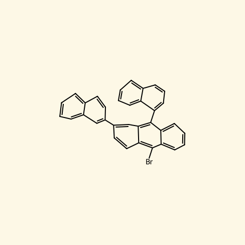 Brc1c2ccccc2c(-c2cccc3ccccc23)c2cc(-c3ccc4ccccc4c3)ccc12